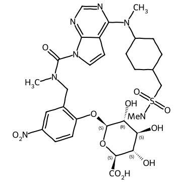 CNS(=O)(=O)CC1CCC(N(C)c2ncnc3c2ccn3C(=O)N(C)Cc2cc([N+](=O)[O-])ccc2O[C@@H]2O[C@H](C(=O)O)[C@@H](O)[C@H](O)[C@H]2O)CC1